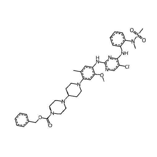 COc1cc(N2CCC(N3CCN(C(=O)OCc4ccccc4)CC3)CC2)c(C)cc1Nc1ncc(Cl)c(Nc2ccccc2N(C)S(C)(=O)=O)n1